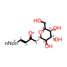 CCCCCCCCC/C=C/C(=O)C[C@@H]1OC(CO)[C@@H](O)[C@H](O)C1O